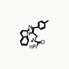 CCCC(=O)N(C)Cc1c(-c2ccc(C)cc2)nc2ccc3ccccc3n12